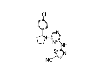 N#Cc1cnc(Nc2cncc(N3CCCC3c3ccc(Cl)cc3)n2)s1